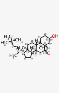 CC(CCC(C)(C)C)[C@H]1CC[C@H]2[C@@H]3CC(=O)[C@H]4C[C@H](O)CC[C@]4(C)[C@H]3CC[C@]12C